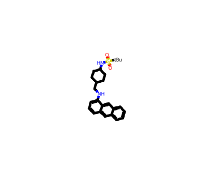 CC(C)(C)S(=O)(=O)NC1CCC(CNc2cccc3cc4ccccc4cc23)CC1